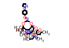 C#CCCN(C)C1CC(C)OC(O[C@@H]2[C@@H](C)[C@H](O)C(C)C(=O)O[C@H](CC)C(C)(O)C3OC/C(=N\Oc4ccc(-n5cccn5)cc4)COC2(I)C[C@@H](C)C(=N)C3C)C1